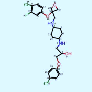 OC(CNC1CCC(NCC2(Oc3ccc(Cl)c(F)c3)COC2)CC1)COc1ccc(Cl)cc1